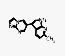 Cc1ccc2c(-c3cnc4nccn4c3)c[nH]c2n1